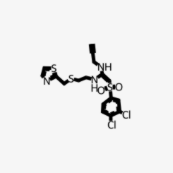 C#CCNC(=CS(=O)(=O)c1ccc(Cl)c(Cl)c1)NCCSCc1nccs1